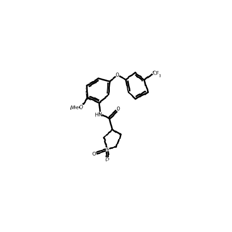 COc1ccc(Oc2cccc(C(F)(F)F)c2)cc1NC(=O)C1CCS(=O)(=O)C1